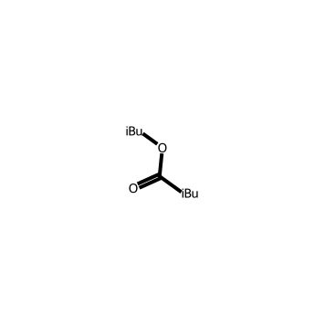 CCC(C)OC(=O)C(C)CC